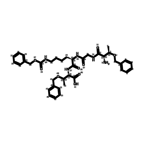 C[C@@H](OCc1ccccc1)[C@H](N)C(=O)NCC(=O)N[C@@H](CCCCNC(=O)OCc1ccccc1)C(=O)N[C@H](C(=O)O)[C@@H](C)OCc1ccccc1